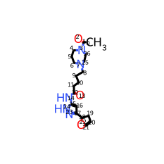 CC(=O)N1CCCN(CCCCC(=O)Nc2cc(C3CC=CO3)n[nH]2)CC1